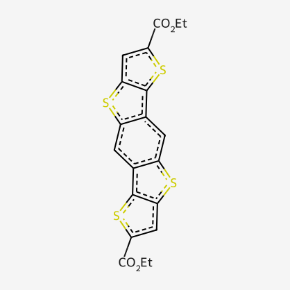 CCOC(=O)c1cc2sc3cc4c(cc3c2s1)sc1cc(C(=O)OCC)sc14